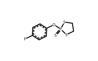 Fc1ccc(OP2(=S)SCCS2)cc1